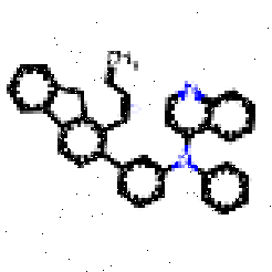 C=C/C=C\c1c(-c2cccc(N(c3ccccc3)c3ccnc4ccccc34)c2)ccc2c1Cc1ccccc1-2